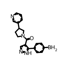 Bc1ccc(-c2[nH]ncc2C(=O)N2CCC(c3cccnc3)C2)cc1